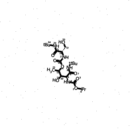 CC(C)OC(=O)N[C@H](C(=O)NC(C)(C)C)C(O)C(C)OC(=O)N[C@@H](CO)C(=O)NC(C)(C)C